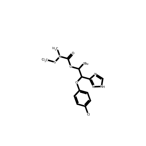 CN(SC(Cl)(Cl)Cl)C(=O)OC(C(Oc1ccc(Cl)cc1)c1nc[nH]n1)C(C)(C)C